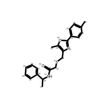 Cc1ccc(-c2nc(CSCC(=O)NC(C)c3ccccc3)c(C)o2)cc1